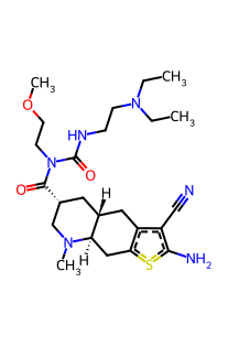 CCN(CC)CCNC(=O)N(CCOC)C(=O)[C@@H]1C[C@@H]2Cc3c(sc(N)c3C#N)C[C@H]2N(C)C1